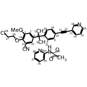 COc1cc(C(C)(C)c2ccc(C#Cc3cccnc3)cc2)cc(C#N)c1OCCCl.CS(=O)(=O)Nc1ccccn1